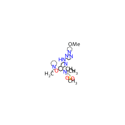 C=CC(=O)N1CCCCC[C@@H]1c1ccc(N2C[C@H](CS(C)(=O)=O)C2(C)C)c2cnc(Nc3ccnc(N4CCC(OC)CC4)n3)cc12